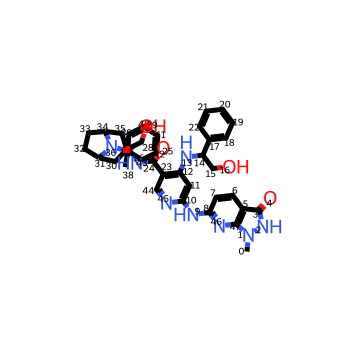 Cn1[nH]c(=O)c2ccc(Nc3cc(NC(CO)c4ccccc4)c(C(=O)NC4(CO)CC5CCC(C4)N5C4(C)C=CC=CC4)cn3)nc21